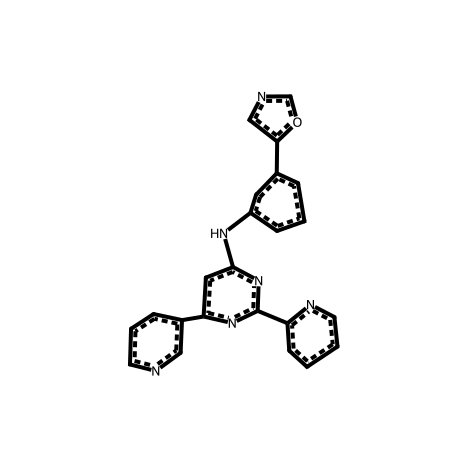 c1ccc(-c2nc(Nc3cccc(-c4cnco4)c3)cc(-c3cccnc3)n2)nc1